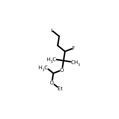 CCOC(C)OC(C)(C)C(F)CCI